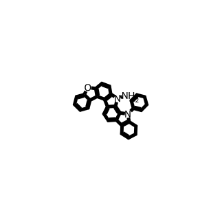 Nn1c2ccc3oc4ccccc4c3c2c2ccc3c4c(n(C5=CCCC=C5)c3c21)CCC=C4